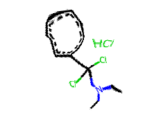 CN(C)C(Cl)(Cl)c1ccccc1.Cl